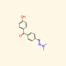 CN(C)/N=N/c1ccc(C(=O)c2ccc(O)cc2)cc1